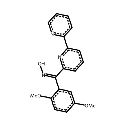 COc1ccc(OC)c(C(=NO)c2cccc(-c3ccccn3)n2)c1